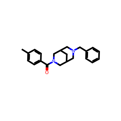 Cc1ccc(C(=O)N2CC3CC(CN(Cc4ccccc4)C3)C2)cc1